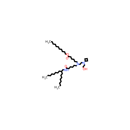 CCCCCCCCCCCOC(=O)CCCCCN(CCCCCC(=O)NCC(CCCCCCCC)CCCCCCCC)CCN(CCO)C1CCC1